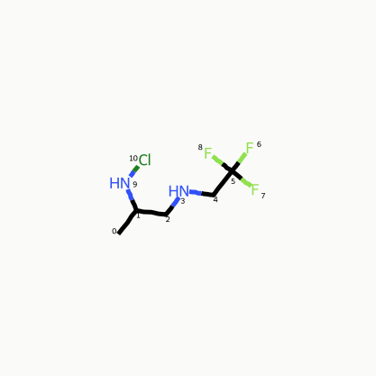 CC(CNCC(F)(F)F)NCl